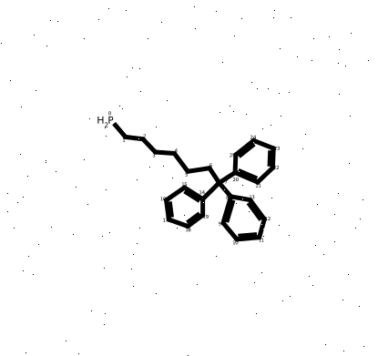 PCCCCCCC(c1ccccc1)(c1ccccc1)c1ccccc1